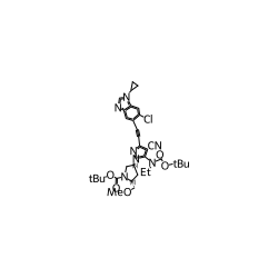 CCN(C(=O)OC(C)(C)C)c1c(C#N)c(C#Cc2cc3ncn(C4CC4)c3cc2Cl)nn1[C@H]1C[C@H](COC)N(C(=O)OC(C)(C)C)C1